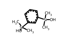 C[Si](C)(O)c1cccc([Si](C)(C)O)c1